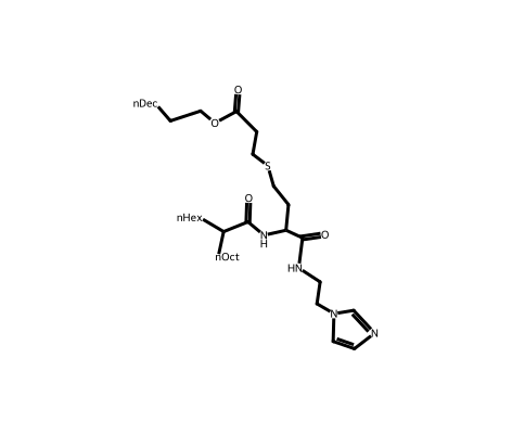 CCCCCCCCCCCCOC(=O)CCSCCC(NC(=O)C(CCCCCC)CCCCCCCC)C(=O)NCCn1ccnc1